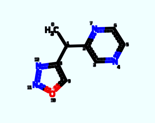 C[C](c1cnccn1)c1conn1